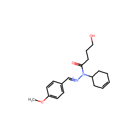 COc1ccc(/C=N/N(C(=O)CCCO)C2CC=CCC2)cc1